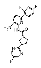 Nc1ccc(-c2ccc(F)cc2F)nc1NC(=O)N1CCC(c2ncc(F)cn2)C1